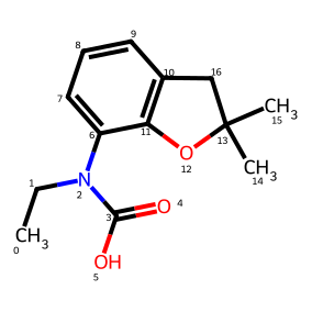 CCN(C(=O)O)c1cccc2c1OC(C)(C)C2